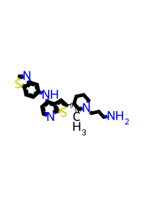 C[C@@H]1[C@H](c2cc3c(Nc4ccc5scnc5c4)ccnc3s2)CCCN1CCCN